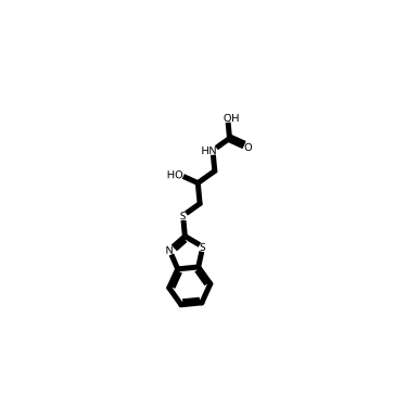 O=C(O)NCC(O)CSc1nc2ccccc2s1